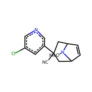 CON1C2C=CC1CC(C#N)(c1cncc(Cl)c1)C2